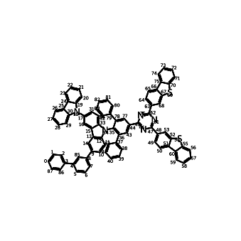 c1ccc(-c2cccc(-c3ccc4c(c3)c3cc(-n5c6ccccc6c6ccccc65)ccc3n4-c3c(-c4ccccc4)cc(-c4nc(-c5ccc6c(c5)sc5ccccc56)nc(-c5ccc6c(c5)sc5ccccc56)n4)cc3-c3ccccc3)c2)cc1